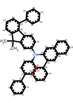 CC1(C)c2cc(N(c3ccc(-c4ccccc4)cc3)c3cc4ccccc4cc3-c3ccccc3)ccc2-c2c(-c3ccccc3)cccc21